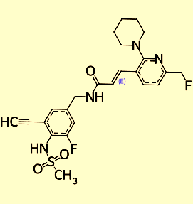 C#Cc1cc(CNC(=O)/C=C/c2ccc(CF)nc2N2CCCCC2)cc(F)c1NS(C)(=O)=O